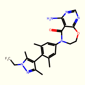 Cc1cc(N2CCOc3ncnc(N)c3C2=O)cc(C)c1-c1c(C)nn(CC(F)(F)F)c1C